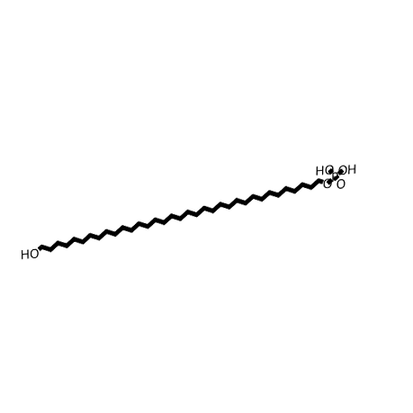 O=P(O)(O)OCCCCCCCCCCCCCCCCCCCCCCCCCCCCCCCCCCCO